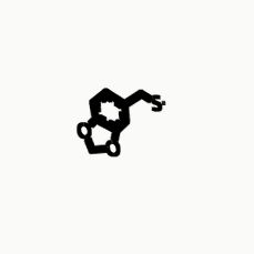 [S]Cc1ccc2c(c1)OCO2